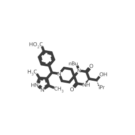 CCCCN1C(=O)[C@@H]([C@H](O)C(C)C)NC(=O)C12CCN(C(c1ccc(C(=O)O)cc1)c1c(C)n[nH]c1C)CC2